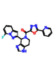 O=C(c1nnc(-c2ccccn2)o1)N1CCc2[nH]cnc2C1c1cc2cccc(F)n2n1